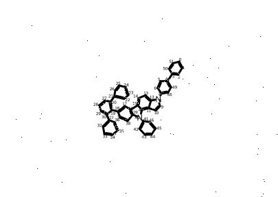 c1ccc(-c2ccc(-n3ccc4c3ccc3c5cc(-c6c(-c7ccccc7)cccc6-c6ccccc6)ccc5n(-c5ccccc5)c34)cc2)cc1